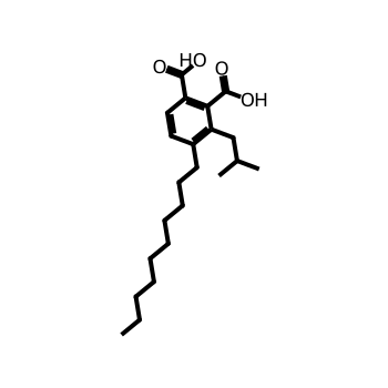 CCCCCCCCCCc1ccc(C(=O)O)c(C(=O)O)c1CC(C)C